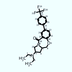 CCN(CC)C1CC2COc3ccc(-c4ccc(C(F)(F)F)cc4)cc3C(=O)N2C1